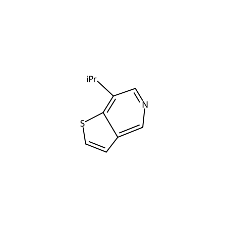 CC(C)c1cncc2ccsc12